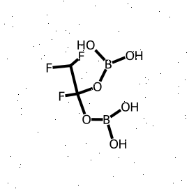 OB(O)OC(F)(OB(O)O)C(F)F